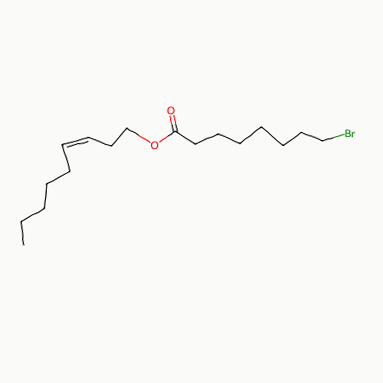 CCCCC/C=C\CCOC(=O)CCCCCCCBr